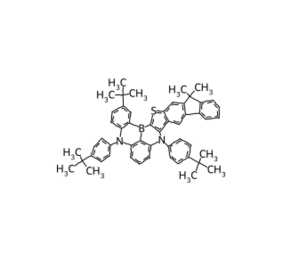 CC(C)(C)c1ccc(N2c3ccc(C(C)(C)C)cc3B3c4sc5cc6c(cc5c4N(c4ccc(C(C)(C)C)cc4)c4cccc2c43)-c2ccccc2C6(C)C)cc1